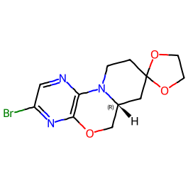 Brc1cnc2c(n1)OC[C@H]1CC3(CCN21)OCCO3